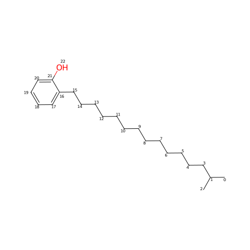 CC(C)CCCCCCCCCCCCCc1ccccc1O